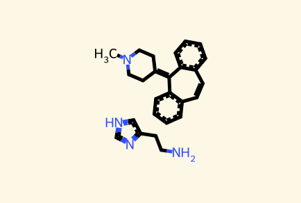 CN1CCC(=C2c3ccccc3C=Cc3ccccc32)CC1.NCCc1c[nH]cn1